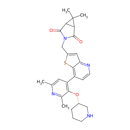 Cc1cc(-c2ccnc3cc(CN4C(=O)C5C(C4=O)C5(C)C)sc23)c(O[C@H]2CCCNC2)c(C)n1